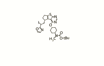 CN(C(=O)OC(C)(C)C)[C@H]1CC[C@H](Oc2ncnc3sc4c(c23)[C@@H](CC(I)c2ncco2)CC4)CC1